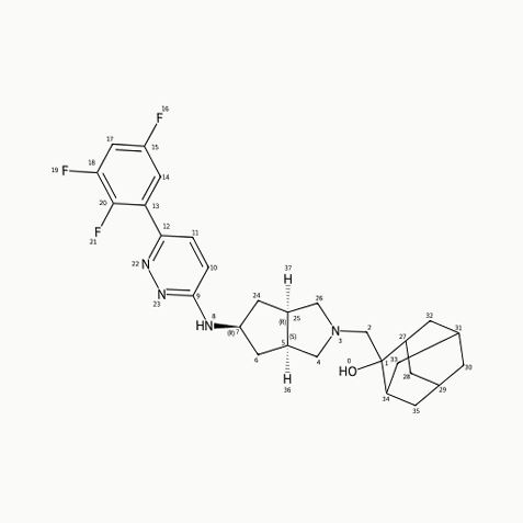 OC1(CN2C[C@H]3C[C@@H](Nc4ccc(-c5cc(F)cc(F)c5F)nn4)C[C@H]3C2)C2CC3CC(C2)CC1C3